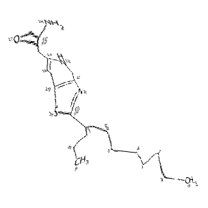 CCCCCCCC(CC)c1nc2[nH]c(C(N)=O)cc2s1